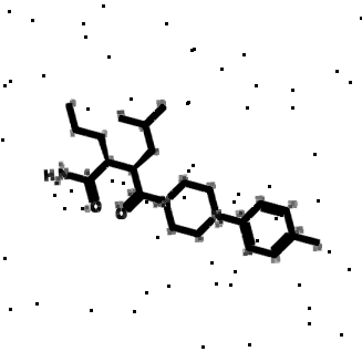 CCC[C@H](C(N)=O)[C@@H](CC(C)C)C(=O)N1CCN(c2ccc(C)cc2)CC1